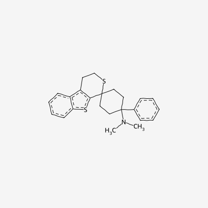 CN(C)C1(c2ccccc2)CCC2(CC1)SCCc1c2sc2ccccc12